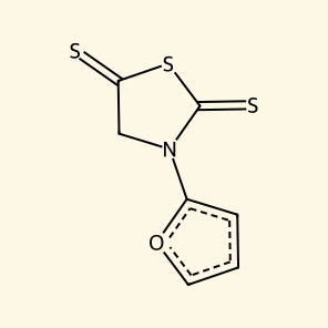 S=C1CN(c2ccco2)C(=S)S1